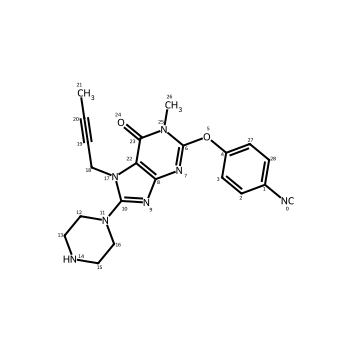 [C-]#[N+]c1ccc(Oc2nc3nc(N4CCNCC4)n(CC#CC)c3c(=O)n2C)cc1